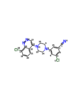 N#Cc1cc(Cl)cc(N2CCN(c3cnnc4c(Cl)cccc34)CC2)c1